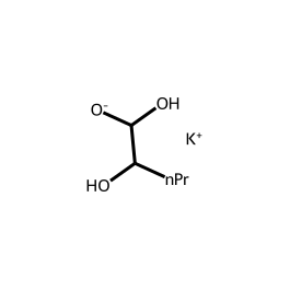 CCCC(O)C([O-])O.[K+]